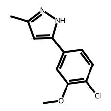 COc1cc(-c2[c]c(C)n[nH]2)ccc1Cl